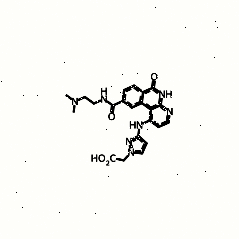 CN(C)CCNC(=O)c1ccc2c(=O)[nH]c3nccc(Nc4ccn(CC(=O)O)n4)c3c2c1